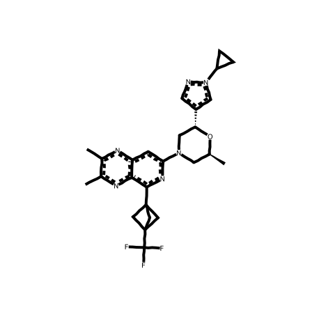 Cc1nc2cc(N3C[C@H](C)O[C@@H](c4cnn(C5CC5)c4)C3)nc(C34CC(C(F)(F)F)(C3)C4)c2nc1C